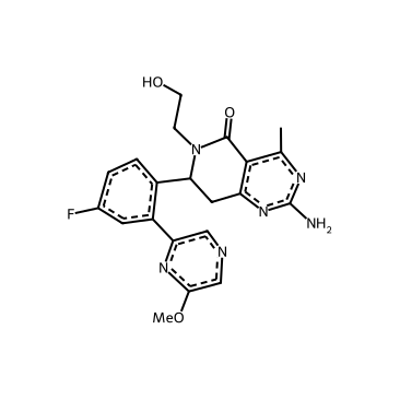 COc1cncc(-c2cc(F)ccc2C2Cc3nc(N)nc(C)c3C(=O)N2CCO)n1